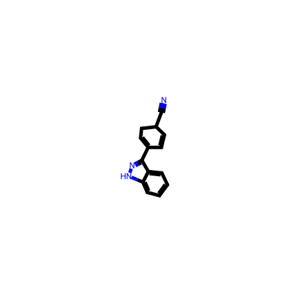 N#CC1C=CC(c2n[nH]c3ccccc23)=CC1